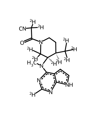 [2H]c1nc(N(C)[C@@]2([2H])C([2H])([2H])N(C(=O)C([2H])([2H])[N+]#[C-])CC[C@@]2([2H])C([2H])([2H])[2H])c2cc[nH]c2n1